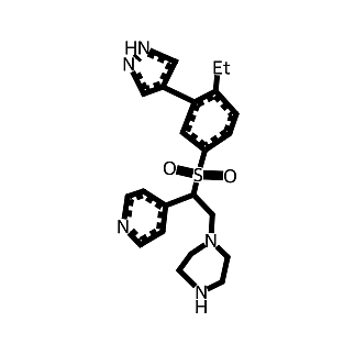 CCc1ccc(S(=O)(=O)C(CN2CCNCC2)c2ccncc2)cc1-c1cn[nH]c1